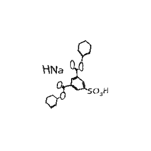 O=C(OC1CCCCC1)c1cc(C(=O)OC2CCCCC2)cc(S(=O)(=O)O)c1.[NaH]